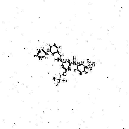 FC(F)(F)COc1nc(NCc2cccc(-c3cncnc3)c2)nc(Nc2cccc(C(F)(F)F)c2)n1